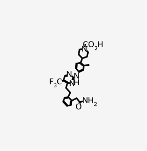 Cc1cc(Nc2ncc(C(F)(F)F)c(CCc3ccccc3CC(N)=O)n2)ccc1C1CCN(C(=O)O)CC1